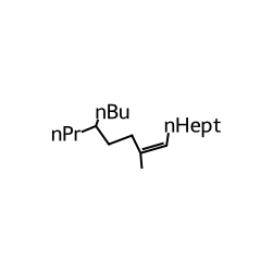 CCCCCCCC=C(C)CCC(CCC)CCCC